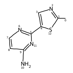 Cc1ncc(-c2nccc(N)n2)s1